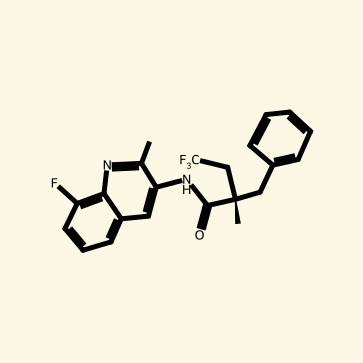 Cc1nc2c(F)cccc2cc1NC(=O)[C@@](C)(Cc1ccccc1)CC(F)(F)F